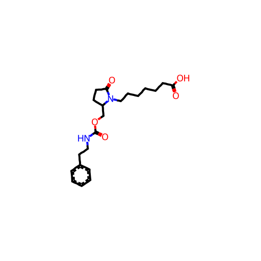 O=C(O)CCCCCCN1C(=O)CCC1COC(=O)NCCc1ccccc1